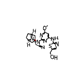 COc1cc(Nc2ncc(CO)s2)nc(N(C)[C@@H]2C[C@H]3CC[C@@H](C2)N3CCC#N)n1